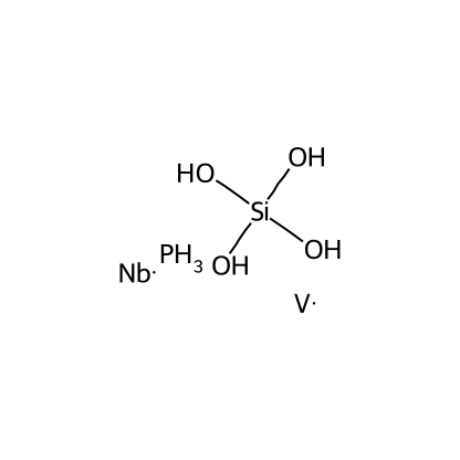 O[Si](O)(O)O.P.[Nb].[V]